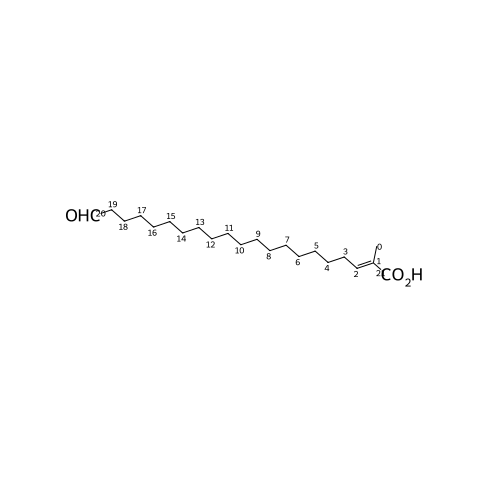 CC(=CCCCCCCCCCCCCCCCCCC=O)C(=O)O